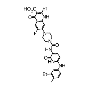 CCc1cc(Nc2ccc(NC(=O)N3CCN(c4cc5[nH]c(CC)c(C(=O)O)c(=O)c5cc4F)CC3)c(=O)[nH]2)ccc1C